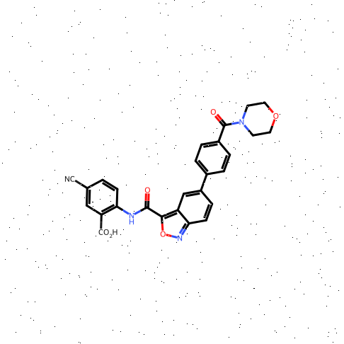 N#Cc1ccc(NC(=O)c2onc3ccc(-c4ccc(C(=O)N5CCOCC5)cc4)cc23)c(C(=O)O)c1